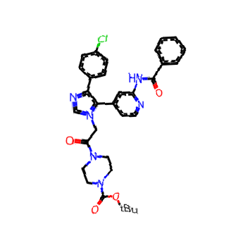 CC(C)(C)OC(=O)N1CCN(C(=O)Cn2cnc(-c3ccc(Cl)cc3)c2-c2ccnc(NC(=O)c3ccccc3)c2)CC1